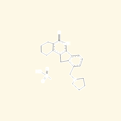 CS(=O)(=O)O.O=c1[nH]c2c(c3c1CCCC3)Cc1c(CN3CCCC3)cccc1-2